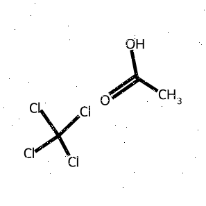 CC(=O)O.ClC(Cl)(Cl)Cl